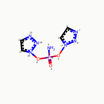 NP(=O)(On1ccnn1)On1ccnn1